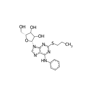 CCCSc1nc(Nc2ccccc2)c2ncn([C@@H]3O[C@H](CO)C(O)C3O)c2n1